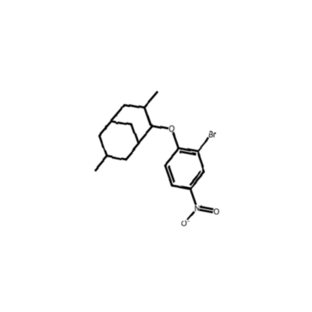 CC1CC2CC(C)C(Oc3ccc([N+](=O)[O-])cc3Br)C(C1)C2